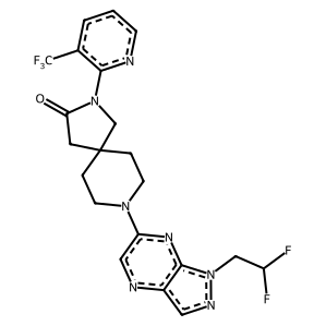 O=C1CC2(CCN(c3cnc4cnn(CC(F)F)c4n3)CC2)CN1c1ncccc1C(F)(F)F